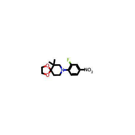 CC1(C)CN(c2ccc([N+](=O)[O-])cc2F)CCC12OCCO2